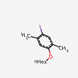 CCCCCCOc1cc(C)c(I)cc1C